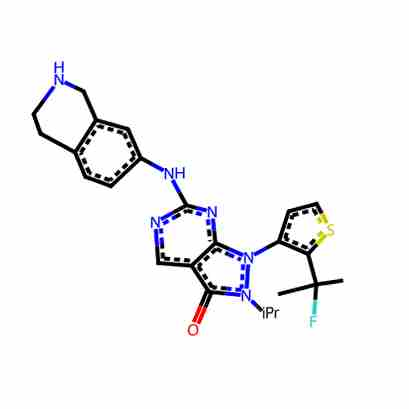 CC(C)n1c(=O)c2cnc(Nc3ccc4c(c3)CNCC4)nc2n1-c1ccsc1C(C)(C)F